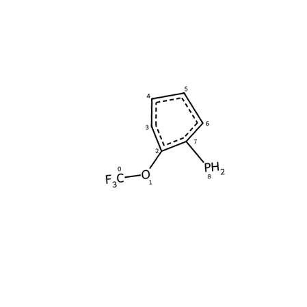 FC(F)(F)Oc1ccccc1P